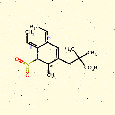 C/C=C1/C=C(CC(C)(C)C(=O)O)[C@@H](C)C([SH](=O)=O)/C1=C/C